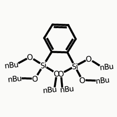 CCCCO[Si](OCCCC)(OCCCC)c1ccccc1[Si](OCCCC)(OCCCC)OCCCC